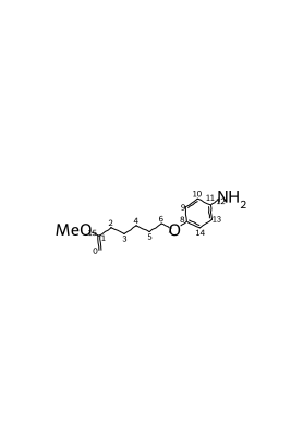 C=C(CCCCCOc1ccc(N)cc1)OC